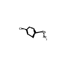 NNC1CC=C(Cl)CC1